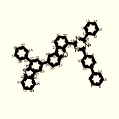 c1ccc(-c2ccc(-c3nc(-c4ccccc4)nc(-c4cccc5c4oc4ccc(-c6cc(-c7ccccc7)c7sc8ccccc8c7c6)cc45)n3)cc2)cc1